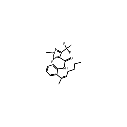 CCCC/C=C(/C)c1ccccc1NC(=O)c1c(C(F)(F)F)nn(C)c1F